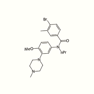 CCCN(C(=O)c1ccc(Br)c(C)c1)c1ccc(OC)c(N2CCN(C)CC2)c1